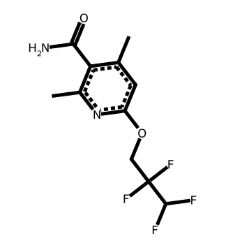 Cc1cc(OCC(F)(F)C(F)F)nc(C)c1C(N)=O